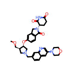 COC[C@@H]1CN(Cc2ccc3cc(N4CCOCC4)cnc3c2)C[C@H]1Oc1ccc2c(c1)CN([C@H]1CCC(=O)NC1=O)C2=O